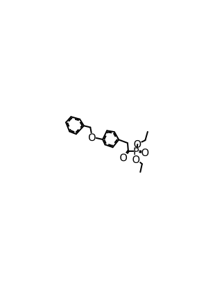 CCOP(=O)(OCC)C(=O)Cc1ccc(OCc2ccccc2)cc1